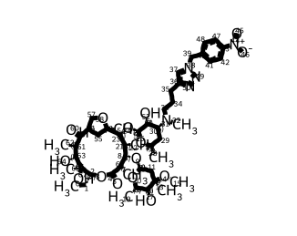 CC[C@H]1OC(=O)[C@H](C)[C@@H](O[C@H]2C[C@@](C)(OC)[C@@H](O)[C@H](C)O2)[C@H](C)[C@@H](O[C@@H]2O[C@H](C)C[C@H](N(C)CCCc3cn(Cc4ccc([N+](=O)[O-])cc4)nn3)[C@H]2O)[C@@]2(C)C[C@@H](CO2)C(=O)[C@H](C)[C@@H](O)[C@]1(C)O